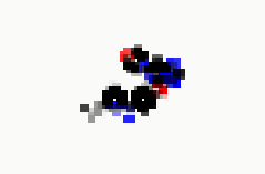 FC(F)(F)c1cccc(NC2CCC(Oc3nc(N4CCOCC4)cc4ncnn34)CC2)n1